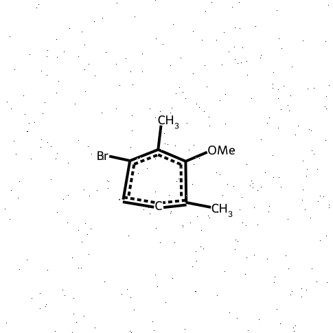 COc1c(C)c[c]c(Br)c1C